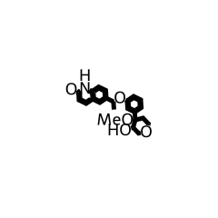 COC1(c2cccc(OC(C)c3ccc4[nH]c(=O)ccc4c3)c2)CCOCC1O